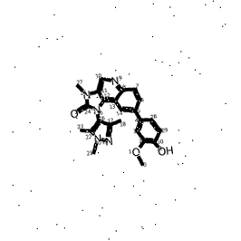 COc1cc(-c2ccc3ncc4c(c3c2)n(-c2c(C)nn(C)c2C)c(=O)n4C)ccc1O